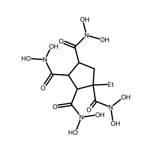 CCC1(C(=O)N(O)O)CC(C(=O)N(O)O)C(C(=O)N(O)O)C1C(=O)N(O)O